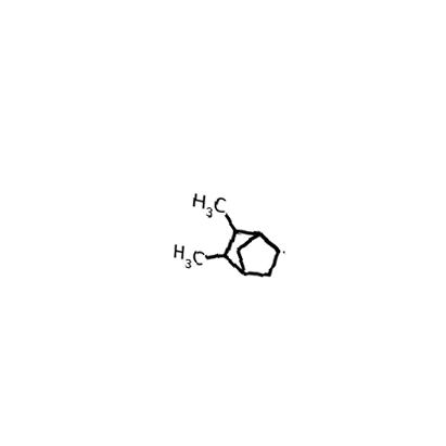 CC1C2[CH]CC(C2)C1C